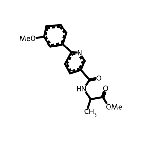 COC(=O)C(C)NC(=O)c1ccc(-c2cccc(OC)c2)nc1